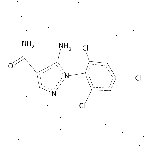 NC(=O)c1cnn(-c2c(Cl)cc(Cl)cc2Cl)c1N